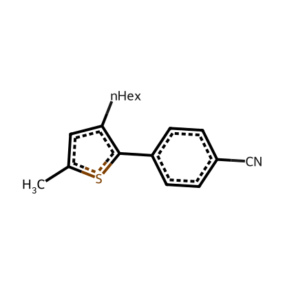 CCCCCCc1cc(C)sc1-c1ccc(C#N)cc1